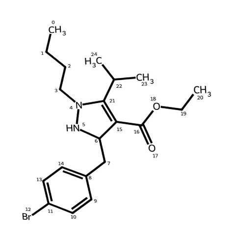 CCCCN1NC(Cc2ccc(Br)cc2)C(C(=O)OCC)=C1C(C)C